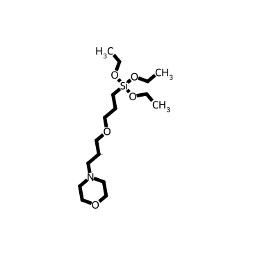 CCO[Si](CCCOC[CH]CN1CCOCC1)(OCC)OCC